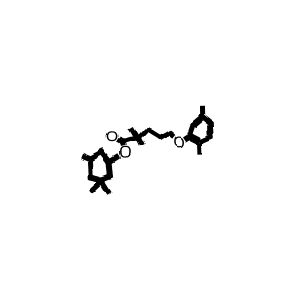 Cc1ccc(C)c(OCCCC(C)(C)C(=O)OC2CC(C)CC(C)(C)C2)c1